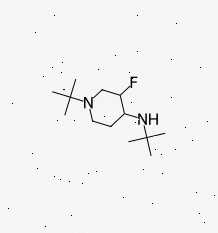 CC(C)(C)NC1CCN(C(C)(C)C)CC1F